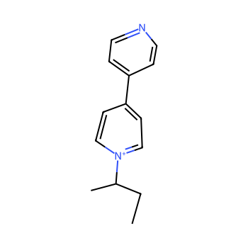 CCC(C)[n+]1ccc(-c2ccncc2)cc1